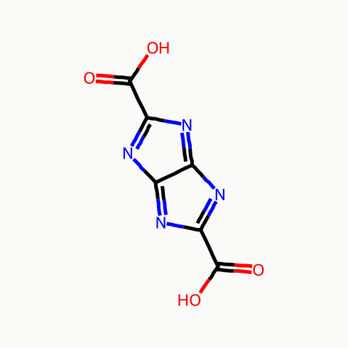 O=C(O)C1=NC2=NC(C(=O)O)=NC2=N1